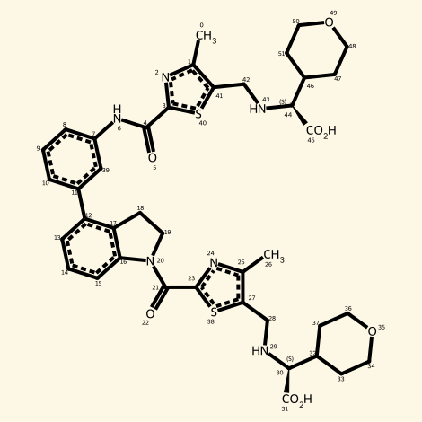 Cc1nc(C(=O)Nc2cccc(-c3cccc4c3CCN4C(=O)c3nc(C)c(CN[C@H](C(=O)O)C4CCOCC4)s3)c2)sc1CN[C@H](C(=O)O)C1CCOCC1